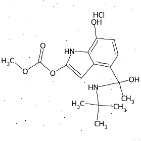 COC(=O)Oc1cc2c(C(C)(O)NC(C)(C)C)ccc(O)c2[nH]1.Cl